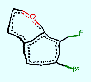 Fc1c(Br)ccc2ccoc12